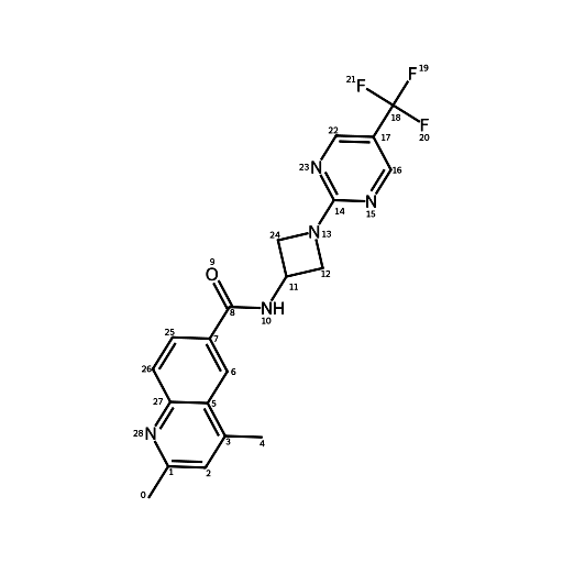 Cc1cc(C)c2cc(C(=O)NC3CN(c4ncc(C(F)(F)F)cn4)C3)ccc2n1